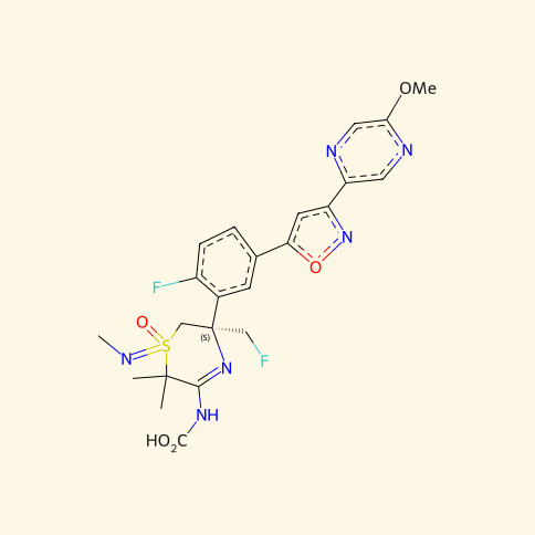 CN=S1(=O)C[C@@](CF)(c2cc(-c3cc(-c4cnc(OC)cn4)no3)ccc2F)N=C(NC(=O)O)C1(C)C